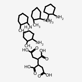 CC1CCCCC1N.CC1CCCCC1N.CC1CCCCC1N.CC1CCCCC1N.O=C(O)CC(C(=O)O)C(CC(=O)O)C(=O)O